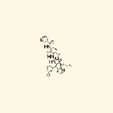 CCCCn1c(=O)c(NC(=O)Nc2c(C(C)C)ccc(NC(=O)c3cccnc3)c2C(C)C)c(-c2cccc(OC)c2)c2cccnc21